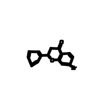 O=C1CC(c2ccccc2)Oc2cc(Br)ccc21